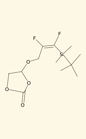 CC(C)(C)[Si](C)(C)C(F)=C(F)COC1COC(=O)O1